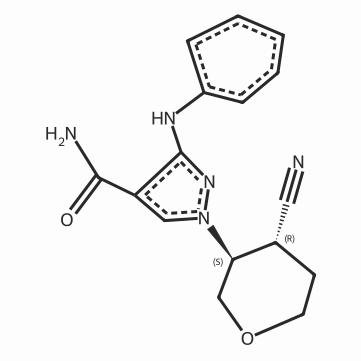 N#C[C@@H]1CCOC[C@H]1n1cc(C(N)=O)c(Nc2ccccc2)n1